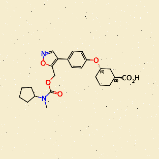 CN(C(=O)OCc1oncc1-c1ccc(O[C@H]2CCC[C@H](C(=O)O)C2)cc1)C1CCCC1